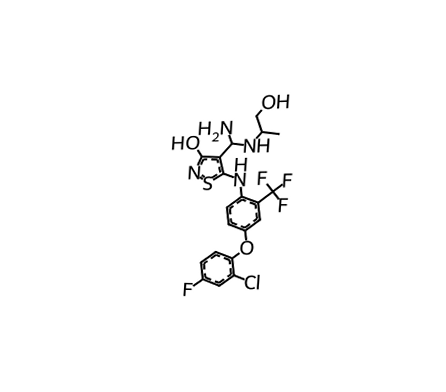 CC(CO)NC(N)c1c(O)nsc1Nc1ccc(Oc2ccc(F)cc2Cl)cc1C(F)(F)F